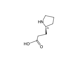 O=C(O)CC[C@@H]1CCCN1